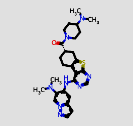 CN(C)c1cn2nccc2cc1Nc1ncnc2sc3c(c12)CC[C@H](C(=O)N1CCC(N(C)C)CC1)C3